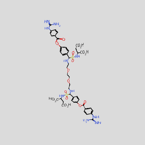 N=C(N)Nc1ccc(C(=O)Oc2ccc(C(NCCOCCOCCNC(c3ccc(OC(=O)c4ccc(NC(=N)N)cc4)cc3)S(=O)(=O)NC(CC(=O)O)C(=O)O)S(=O)(=O)NC(CC(=O)O)C(=O)O)cc2)cc1